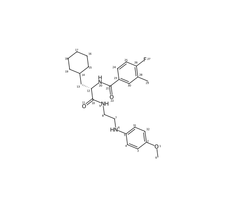 COc1ccc(NCCNC(=O)[C@H](CC2CCCCC2)NC(=O)c2ccc(F)c(C)c2)cc1